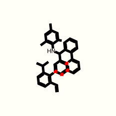 C=Cc1cccc(C(C)C)c1NCc1cccc(-c2ccccc2C(Nc2c(C)cc(C)cc2C)c2ccccc2)n1